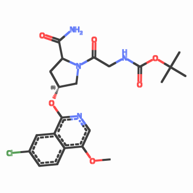 COc1cnc(O[C@@H]2CC(C(N)=O)N(C(=O)CNC(=O)OC(C)(C)C)C2)c2cc(Cl)ccc12